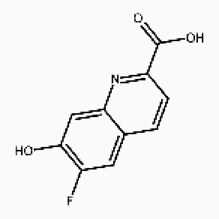 O=C(O)c1ccc2cc(F)c(O)cc2n1